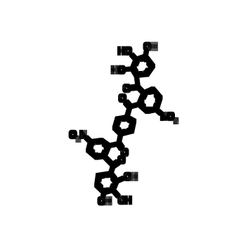 O=C(c1ccc(C(=O)c2cc([N+](=O)[O-])ccc2C(=O)c2ccc(O)c(O)c2O)cc1)c1cc([N+](=O)[O-])ccc1C(=O)c1ccc(O)c(O)c1O